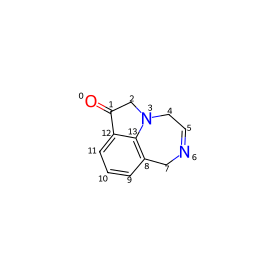 O=C1CN2CC=NCc3cccc1c32